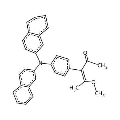 CO/C(C)=C(\C(C)=O)c1ccc(N(c2ccc3ccccc3c2)c2ccc3ccccc3c2)cc1